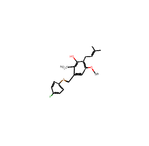 CCCOc1cc(CSc2ccc(F)cc2)c(C(=O)O)c(O)c1CC=C(C)C